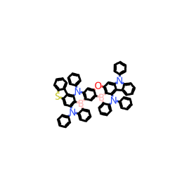 c1ccc(N2c3ccccc3B3c4cc5c(cc4N(c4ccccc4)c4c3c2cc2sc3ccccc3c42)Oc2cc3c(c4c2B5c2ccccc2N4c2ccccc2)c2ccccc2n3-c2ccccc2)cc1